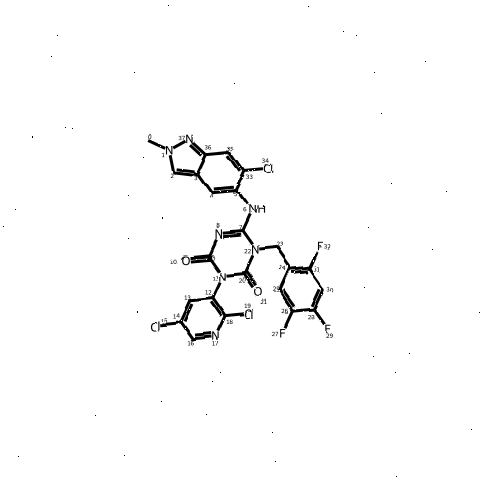 Cn1cc2cc(Nc3nc(=O)n(-c4cc(Cl)cnc4Cl)c(=O)n3Cc3cc(F)c(F)cc3F)c(Cl)cc2n1